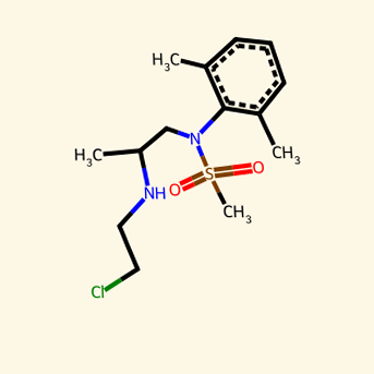 Cc1cccc(C)c1N(CC(C)NCCCl)S(C)(=O)=O